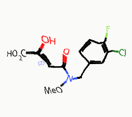 CON(Cc1ccc(F)c(Cl)c1)C(=O)/C=C(\O)C(=O)O